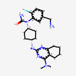 CN(C)c1nc(N[C@H]2CC[C@@H](N(C(N)=O)c3cc(CN)ccc3F)CC2)nc2c1CCCC2